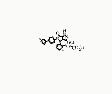 CC(C)(C)c1n[nH]c2c1C(c1cccnc1COCC(=O)O)N(c1ccc(-c3ccsc3)cc1)C2=O